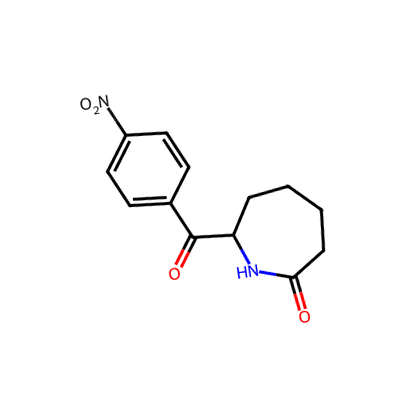 O=C1CCCCC(C(=O)c2ccc([N+](=O)[O-])cc2)N1